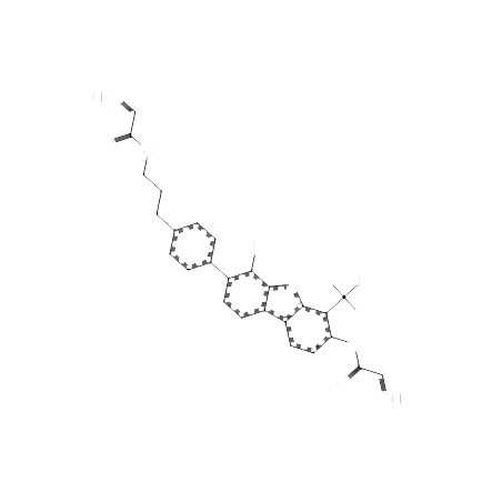 C=CC(=O)OCCCc1ccc(-c2ccc3c(oc4c(C(F)(F)F)c(OC(=O)C=C)ccc43)c2F)cc1